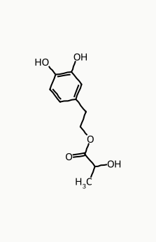 CC(O)C(=O)OCCc1ccc(O)c(O)c1